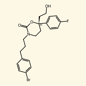 O=C1O[C@](CCO)(c2ccc(F)cc2)CCN1CCCc1ccc(Br)cc1